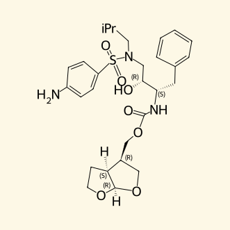 CC(C)CN(C[C@@H](O)[C@H](Cc1ccccc1)NC(=O)OC[C@H]1CO[C@H]2OCC[C@@H]12)S(=O)(=O)c1ccc(N)cc1